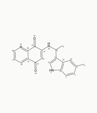 Cc1ccc2[nH]cc(C(C)NC3=CC(=O)c4cccnc4C3=O)c2c1